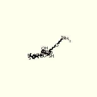 Cc1ncsc1-c1ccc([C@H](C)NC(=O)[C@@H]2C[C@@H](O)CN2C(=O)C(NC(=O)CCCCCOCCCCCCN)C(C)(C)S)cc1